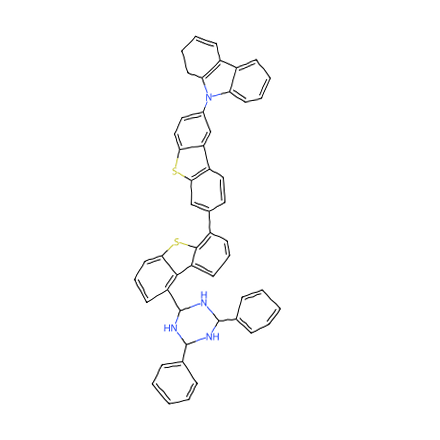 C1=Cc2c(n(-c3ccc4sc5cc(-c6cccc7c6sc6cccc(C8NC(c9ccccc9)NC(c9ccccc9)N8)c67)ccc5c4c3)c3ccccc23)CC1